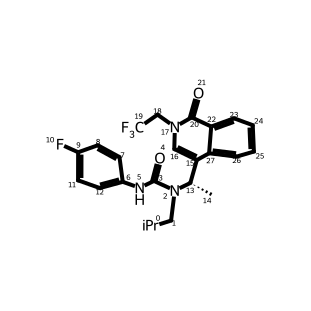 CC(C)CN(C(=O)Nc1ccc(F)cc1)[C@@H](C)c1cn(CC(F)(F)F)c(=O)c2ccccc12